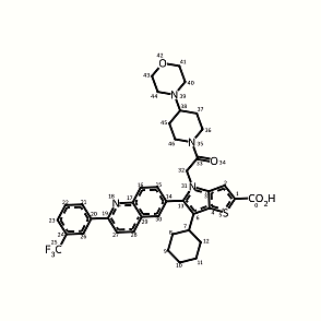 O=C(O)c1cc2c(s1)c(C1CCCCC1)c(-c1ccc3nc(-c4cccc(C(F)(F)F)c4)ccc3c1)n2CC(=O)N1CCC(N2CCOCC2)CC1